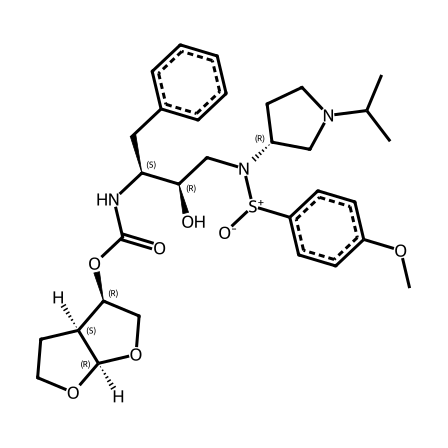 COc1ccc([S+]([O-])N(C[C@@H](O)[C@H](Cc2ccccc2)NC(=O)O[C@H]2CO[C@H]3OCC[C@H]32)[C@@H]2CCN(C(C)C)C2)cc1